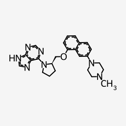 CN1CCN(c2ccc3cccc(OC[C@H]4CCCN4c4ncnc5[nH]cnc45)c3c2)CC1